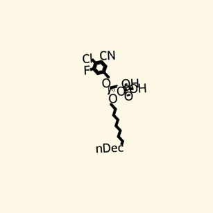 CCCCCCCCCCCCCCCCCCOC[C@H](COP(=O)(O)O)OCc1cc(F)c(Cl)c(C#N)c1